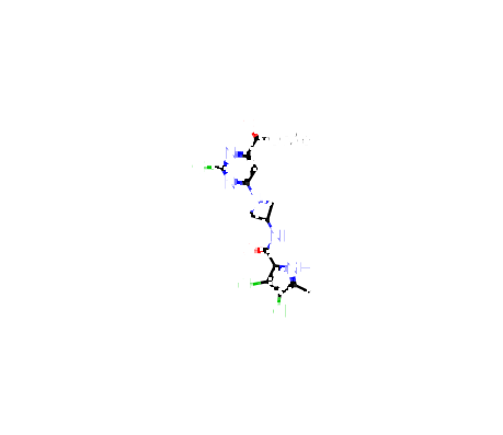 COC(=O)c1cc(N2CC(NC(=O)c3[nH]c(C)c(Cl)c3Cl)C2)nc(Cl)n1